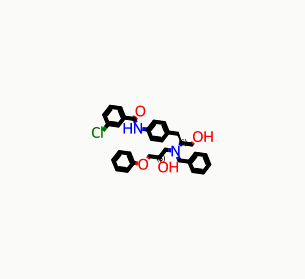 O=C(Nc1ccc(C[C@@H](CO)N(Cc2ccccc2)C[C@H](O)COc2ccccc2)cc1)c1cccc(Cl)c1